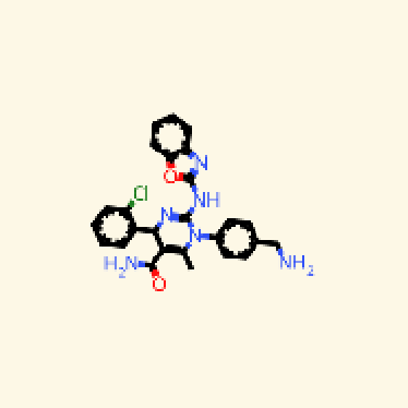 CC1=C(C(N)=O)C(c2ccccc2Cl)N=C(Nc2nc3ccccc3o2)N1c1ccc(CN)cc1